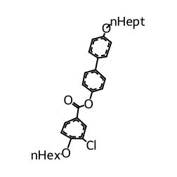 CCCCCCCOc1ccc(-c2ccc(OC(=O)c3ccc(OCCCCCC)c(Cl)c3)cc2)cc1